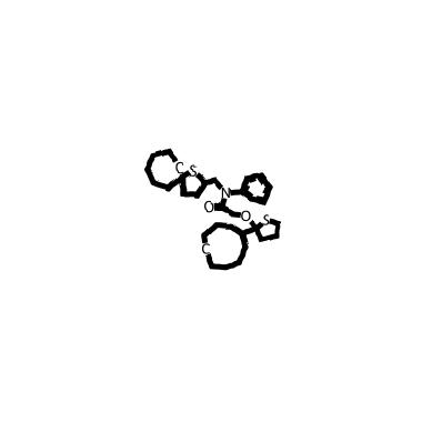 O=C(COC1(C2CCCCCCCC2)CCCS1)N(CC1CCC2(CCCCCC2)S1)c1ccccc1